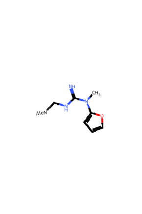 CNCNC(=N)N(C)c1ccco1